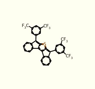 FC(F)(F)c1cc(C2=c3sc4c(c3-c3ccccc32)-c2ccccc2C=4c2cc(C(F)(F)F)cc(C(F)(F)F)c2)cc(C(F)(F)F)c1